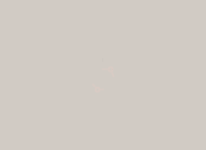 C1COCCO1.[H+]